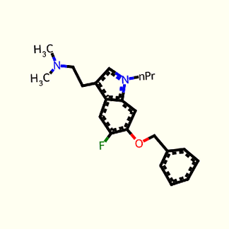 CCCn1cc(CCN(C)C)c2cc(F)c(OCc3ccccc3)cc21